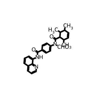 CC1C=CC(C)C(C(=O)N(C=O)c2ccc(C(=O)Nc3cccc4cccnc34)cc2)C1C